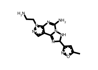 Cc1cc(C2N=C3c4cnn(CCN)c4N=C(N)N3N2)no1